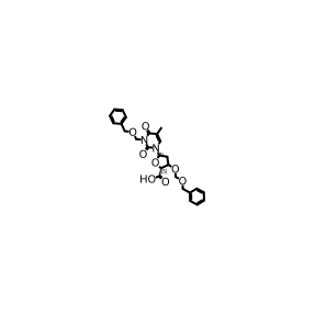 Cc1cn([C@H]2CC(OCOCc3ccccc3)[C@@H](C(=O)O)O2)c(=O)n(COCc2ccccc2)c1=O